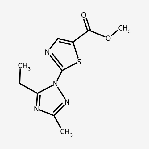 CCc1nc(C)nn1-c1ncc(C(=O)OC)s1